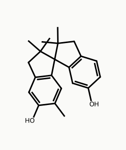 Cc1cc2c(cc1O)CC(C)(C)C21c2cc(O)ccc2CC1(C)C